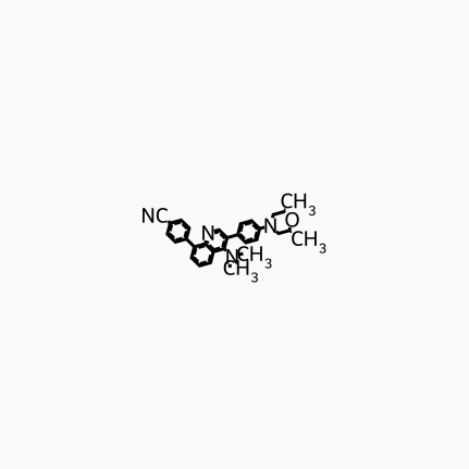 C[C@@H]1CN(c2ccc(-c3cnc4c(-c5ccc(C#N)cc5)cccc4c3N(C)C)cc2)C[C@H](C)O1